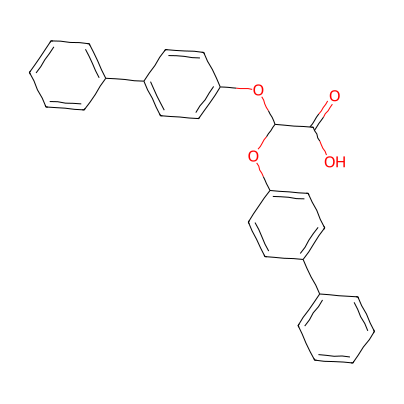 O=C(O)C(Oc1ccc(-c2ccccc2)cc1)Oc1ccc(-c2ccccc2)cc1